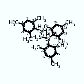 Cc1cc(C)c([SiH2][SiH2][SiH](c2c(C)cc(C)cc2C)c2c(C)cc(C)cc2C)c(C)c1